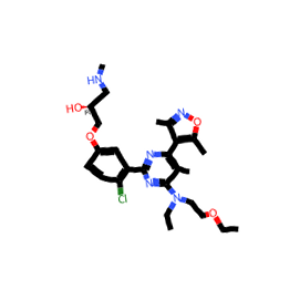 CCOCCN(CC)c1nc(-c2cc(OC[C@H](O)CNC)ccc2Cl)nc(-c2c(C)noc2C)c1C